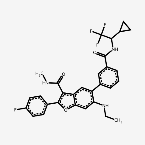 CCNc1cc2oc(-c3ccc(F)cc3)c(C(=O)NC)c2cc1-c1cccc(C(=O)NC(C2CC2)C(F)(F)F)c1